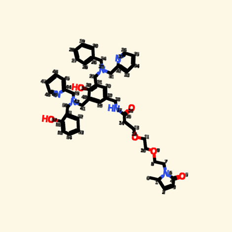 CC1C=CC(=O)N1CCOCCOCCC(=O)NCc1cc(CN(Cc2ccccc2)Cc2ccccn2)c(O)c(CN(Cc2ccccn2)Cc2ccccc2O)c1